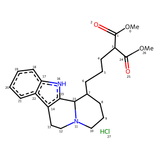 COC(=O)C(CCCC1CCCN2CCc3c([nH]c4ccccc34)C12)C(=O)OC.Cl